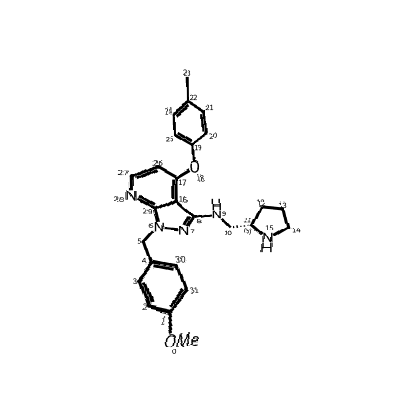 COc1ccc(Cn2nc(NC[C@@H]3CCCN3)c3c(Oc4ccc(C)cc4)ccnc32)cc1